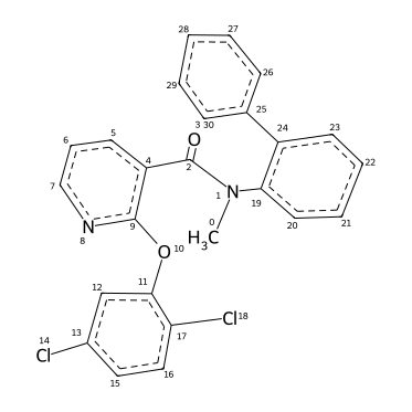 CN(C(=O)c1cccnc1Oc1cc(Cl)ccc1Cl)c1ccccc1-c1ccccc1